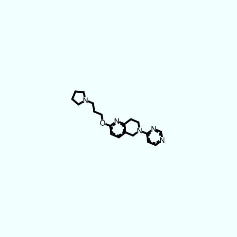 c1cc(N2CCc3nc(OCCCN4CCCC4)ccc3C2)ncn1